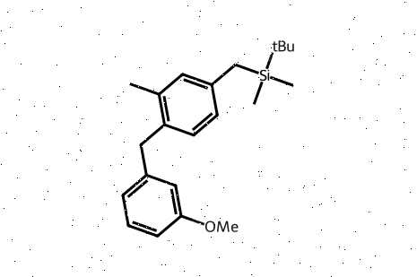 COc1cccc(Cc2ccc(C[Si](C)(C)C(C)(C)C)cc2C)c1